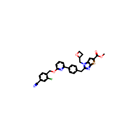 COC(=O)c1cc2c(nc(Cc3ccc(-c4cccc(OCc5ccc(C#N)cc5F)n4)cc3)n2CC2CCO2)s1